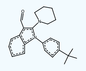 CC(C)(C)c1ccc(-n2c(N3CCCCC3)c(C=O)c3ccccc32)cc1